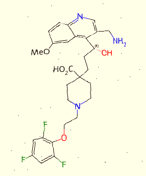 COc1ccc2ncc(CN)c([C@H](O)CCC3(C(=O)O)CCN(CCOc4c(F)cc(F)cc4F)CC3)c2c1